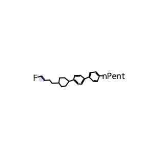 CCCCCc1ccc(-c2ccc(C3CCC(CC/C=C/F)CC3)cc2)cc1